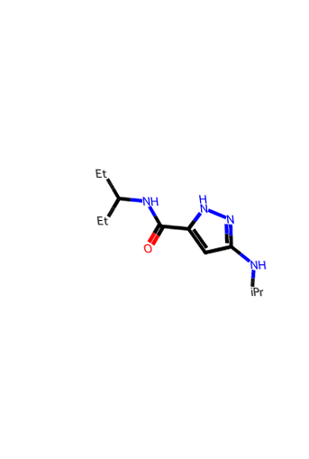 CCC(CC)NC(=O)c1cc(NC(C)C)n[nH]1